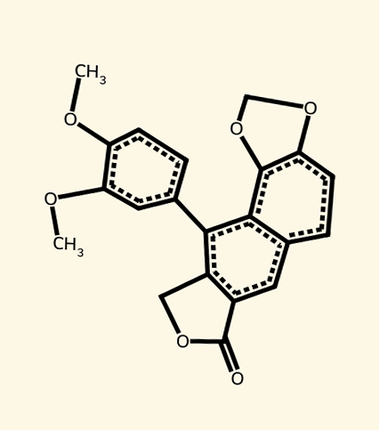 COc1ccc(-c2c3c(cc4ccc5c(c24)OCO5)C(=O)OC3)cc1OC